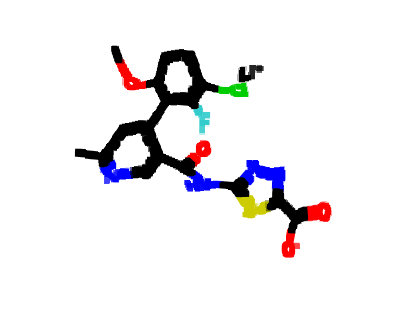 COc1ccc(Cl)c(F)c1-c1cc(C)ncc1C(=O)Nc1nnc(C(=O)[O-])s1.[Li+]